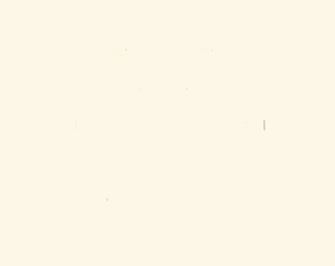 CC1=C(C)C(Cl)=C(Cl)C(=O)C1=O